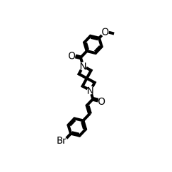 COc1ccc(C(=O)N2CC3(CN(C(=O)/C=C/c4ccc(Br)cc4)C3)C2)cc1